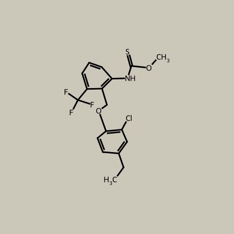 CCc1ccc(OCc2c(NC(=S)OC)cccc2C(F)(F)F)c(Cl)c1